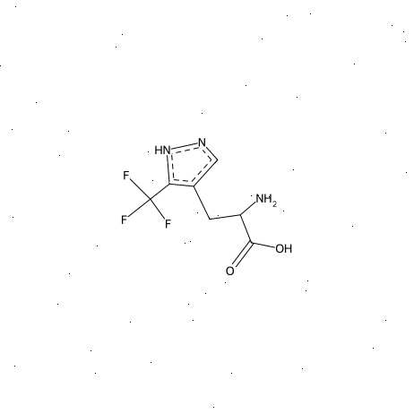 NC(Cc1cn[nH]c1C(F)(F)F)C(=O)O